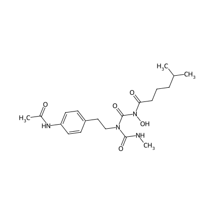 CNC(=O)N(CCc1ccc(NC(C)=O)cc1)C(=O)N(O)C(=O)CCCC(C)C